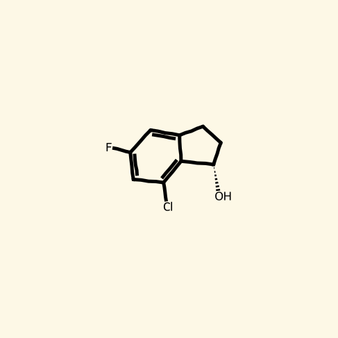 O[C@H]1CCc2cc(F)cc(Cl)c21